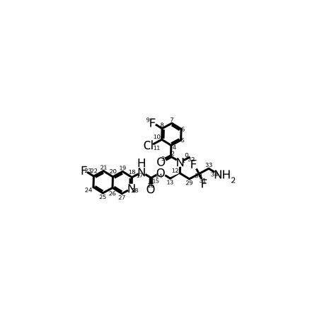 CN(C(=O)c1cccc(F)c1Cl)[C@H](COC(=O)Nc1cc2cc(F)ccc2cn1)CC(F)(F)CN